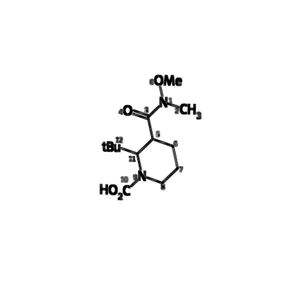 CON(C)C(=O)C1CCCN(C(=O)O)C1C(C)(C)C